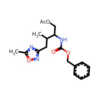 CC(=O)OCC(NC(=O)OCc1ccccc1)C(C)Cc1noc(C)n1